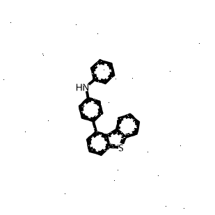 c1ccc(Nc2ccc(-c3cccc4sc5ccccc5c34)cc2)cc1